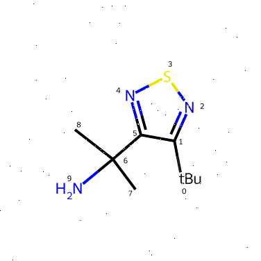 CC(C)(C)c1nsnc1C(C)(C)N